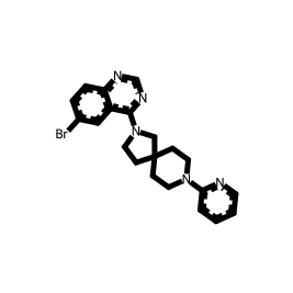 Brc1ccc2ncnc(N3CCC4(CCN(c5ccccn5)CC4)C3)c2c1